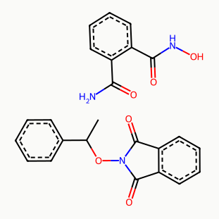 CC(ON1C(=O)c2ccccc2C1=O)c1ccccc1.NC(=O)c1ccccc1C(=O)NO